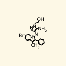 CC1=C(c2ccccc2)/C(=N/c2cnn(CCO)c2N)[n+]2ccccc21.[Br-]